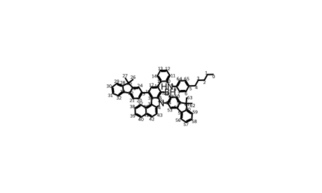 CCCCCc1ccc(Nc2ccccc2-c2cc(-c3ccc4c(c3)C(C)(C)c3ccccc3-4)c3c4c5ccccc5ccc4n4c3c2Bc2cc3c(cc2-4)-c2ccccc2C3(C)C)cc1